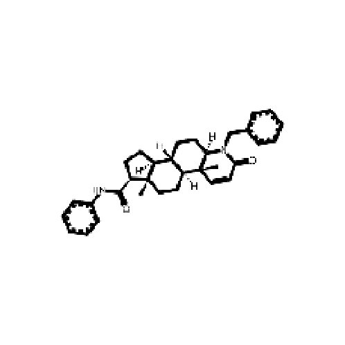 C[C@]12C=CC(=O)N(Cc3ccccc3)[C@@H]1CC[C@@H]1[C@@H]2CC[C@]2(C)[C@@H](C(=O)Nc3ccccc3)CC[C@@H]12